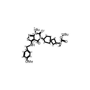 CCCCn1c(=O)n(C2CCC3(CC2)CC(N(C)C(=O)OC(C)(C)C)C3)c(=O)c2c(NCc3ccc(OC)cc3)snc21